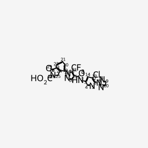 O=C(Nc1cnc(-n2nccn2)c(Cl)c1)c1cnn(-c2cccc3c2CN(C(=O)O)C3=O)c1C(F)(F)F